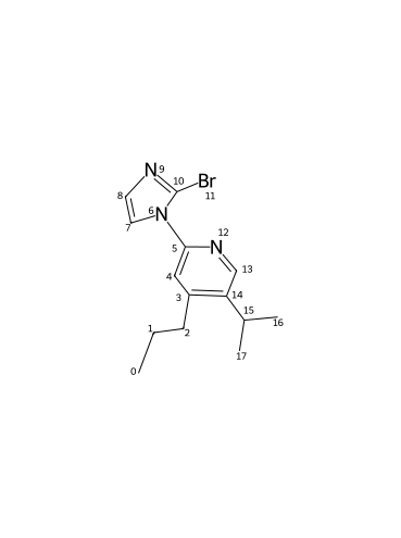 CCCc1cc(-n2ccnc2Br)ncc1C(C)C